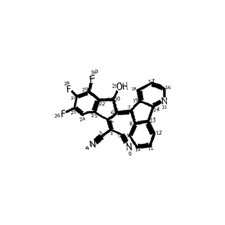 N#CC(C#N)=C1/C(=C2\c3ccccc3-c3ncccc32)C(O)c2c1cc(F)c(F)c2F